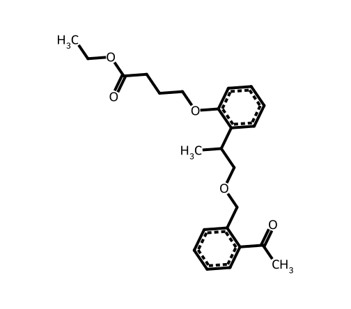 CCOC(=O)CCCOc1ccccc1C(C)COCc1ccccc1C(C)=O